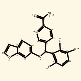 NC(=O)c1ccc(C(Sc2ccc3ccoc3c2)c2c(F)ccc(F)c2F)cn1